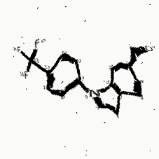 O=Cc1ccc2ccn(-c3ccc(C(F)(F)F)cc3)c2c1